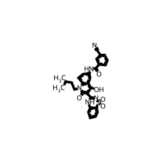 CC(C)CCn1c(=O)c(C2=NS(=O)(=O)c3ccccc3N2)c(O)c2cc(NC(=O)c3cccc(C#N)c3)ccc21